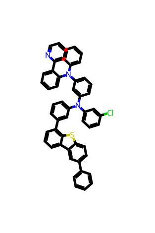 Clc1cccc(N(c2cccc(-c3cccc4c3sc3ccc(-c5ccccc5)cc34)c2)c2cccc(N(c3ccccc3)c3ccccc3-c3ccccn3)c2)c1